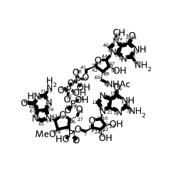 CO[C@@H]1[C@H](P(=O)(O)OC[C@H]2O[C@@H](n3cnc4c(=O)[nH]c(N)nc43)[C@H](O)[C@@H]2O)[C@@H](COP(=O)(O)OP(=O)(O)OP(=O)(O)OC[C@H]2OC(n3c[n+](C)c4c(=O)[nH]c(N)nc43)[C@H](O)[C@@H]2CNC(C)=O)O[C@H]1n1cnc2c(=O)[nH]c(N)nc21